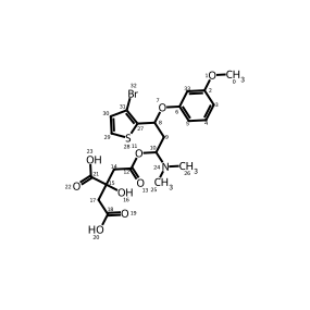 COc1cccc(OC(CC(OC(=O)CC(O)(CC(=O)O)C(=O)O)N(C)C)c2sccc2Br)c1